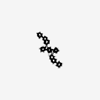 c1ccc(-c2ccc3ccc(-n4c5ccccc5c5cc6c(cc54)c4ccccc4n6-c4ccc5ccc(-c6ccccc6)cc5c4)cc3c2)cc1